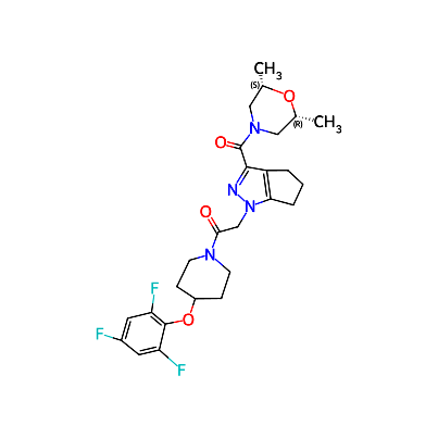 C[C@@H]1CN(C(=O)c2nn(CC(=O)N3CCC(Oc4c(F)cc(F)cc4F)CC3)c3c2CCC3)C[C@H](C)O1